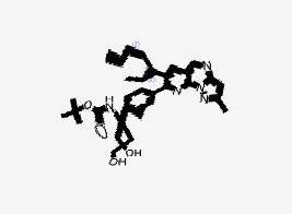 C=C/C=C\C(=C/C)c1cc2cnc3cc(C)nn3c2nc1-c1ccc(C2(NC(=O)OC(C)(C)C)CC(O)(CO)C2)cc1